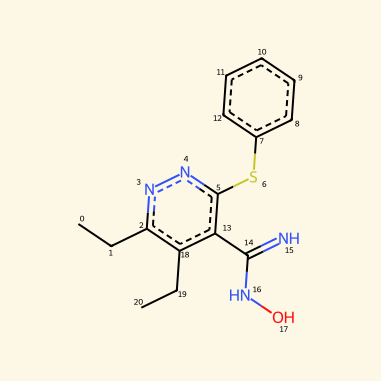 CCc1nnc(Sc2ccccc2)c(C(=N)NO)c1CC